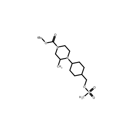 CC1CN(C(=O)OC(C)(C)C)CCN1C1CCC(COS(C)(=O)=O)CC1